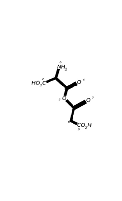 NC(C(=O)O)C(=O)OC(=O)CC(=O)O